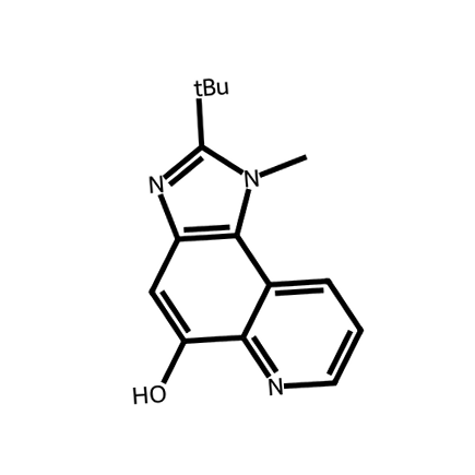 Cn1c(C(C)(C)C)nc2cc(O)c3ncccc3c21